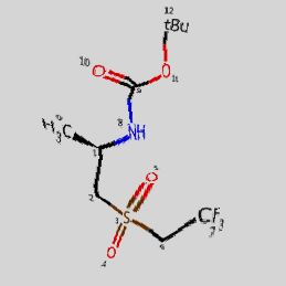 C[C@H](CS(=O)(=O)CC(F)(F)F)NC(=O)OC(C)(C)C